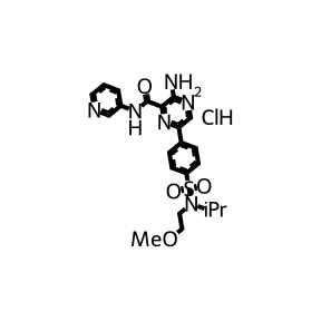 COCCN(C(C)C)S(=O)(=O)c1ccc(-c2cnc(N)c(C(=O)Nc3cccnc3)n2)cc1.Cl